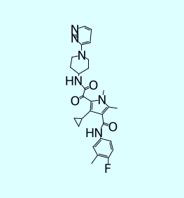 Cc1cc(NC(=O)c2c(C3CC3)c(C(=O)C(=O)NC3CCN(c4cccnn4)CC3)n(C)c2C)ccc1F